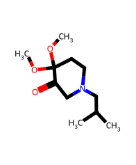 COC1(OC)CCN(C[C](C)C)CC1=O